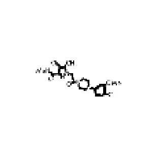 CNC(=O)c1nn(CC(=O)N2CCN(c3ccc(Cl)c(OC)c3)CC2)c(C)c1Cl